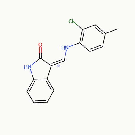 Cc1ccc(N/C=C2\C(=O)Nc3ccccc32)c(Cl)c1